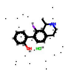 CC1NCCc2ccc(-c3ccccc3O)c(I)c21.Cl